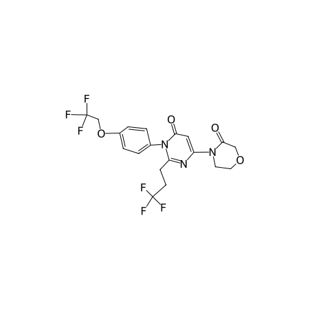 O=C1COCCN1c1cc(=O)n(-c2ccc(OCC(F)(F)F)cc2)c(CCC(F)(F)F)n1